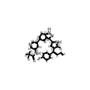 C=C/C=C(/c1ccc(F)cc1)c1cc(-c2n[nH]c3ccc(-c4cncc(NC(=C)C(C)(C)C)c4)cc23)[nH]c1C